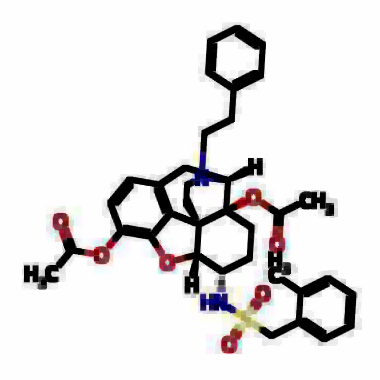 CC(=O)Oc1ccc2c3c1O[C@H]1[C@@H](NS(=O)(=O)Cc4ccccc4C)CC[C@@]4(OC(C)=O)[C@@H](C2)N(CCc2ccccc2)CC[C@]314